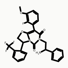 COc1cccc(-c2c3n(c(=O)n(CC(N)c4ccccc4)c2=O)C(c2ccccc2C(F)(F)F)CO3)c1F